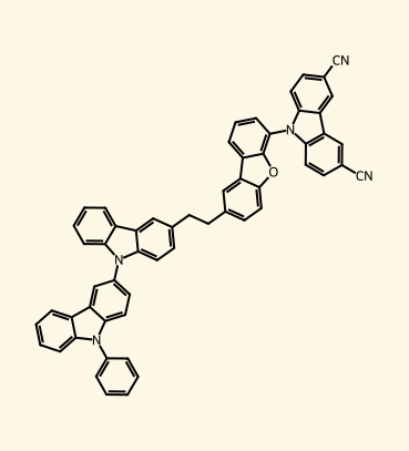 N#Cc1ccc2c(c1)c1cc(C#N)ccc1n2-c1cccc2c1oc1ccc(CCc3ccc4c(c3)c3ccccc3n4-c3ccc4c(c3)c3ccccc3n4-c3ccccc3)cc12